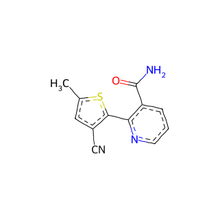 Cc1cc(C#N)c(-c2ncccc2C(N)=O)s1